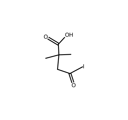 CC(C)(CC(=O)I)C(=O)O